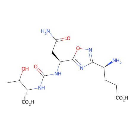 CC(O)[C@H](NC(=O)N[C@@H](CC(N)=O)c1nc([C@@H](N)CCC(=O)O)no1)C(=O)O